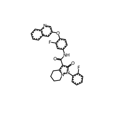 O=C(Nc1ccc(Oc2cnc3ccccc3c2)c(F)c1)c1c2n(n(-c3ccccc3F)c1=O)CCCC2